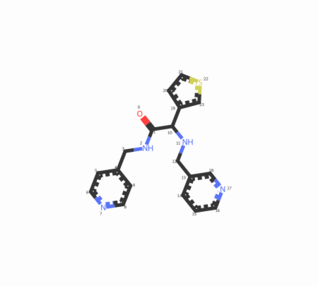 O=C(NCc1ccncc1)C(NCc1cccnc1)c1ccsc1